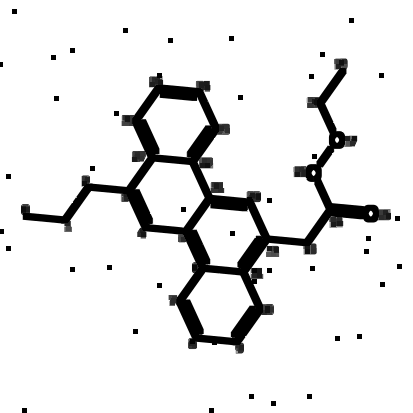 CCCc1cc2c3ccccc3c(CC(=O)OOCC)cc2c2ccccc12